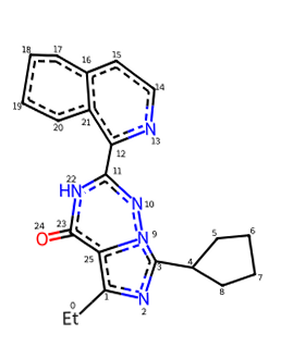 CCc1nc(C2CCCC2)n2nc(-c3nccc4ccccc34)[nH]c(=O)c12